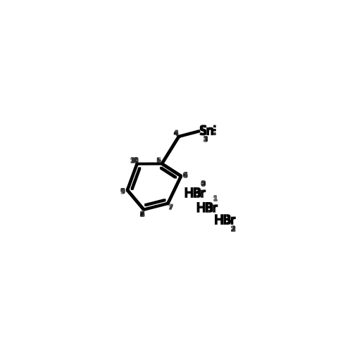 Br.Br.Br.[Sn][CH2]c1ccccc1